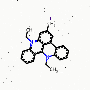 CCN1c2ccccc2-c2cc(C)cc3c2c1c1ccccc1[n+]3CC.[I-]